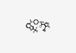 Cn1ncc(C(=O)N[C@H]2CC[C@@H](N(C)c3cccc4nc(C(F)(F)F)cn34)CC2)c1C1CC1